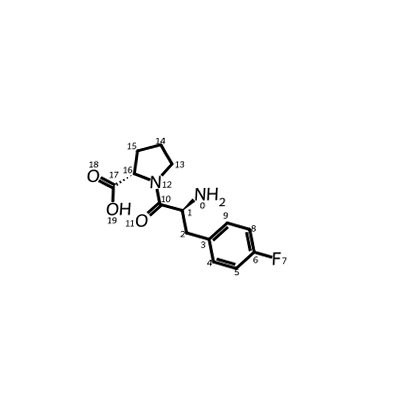 N[C@@H](Cc1ccc(F)cc1)C(=O)N1CCC[C@H]1C(=O)O